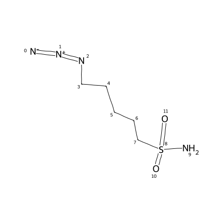 [N-]=[N+]=NCCCCCS(N)(=O)=O